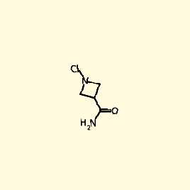 NC(=O)C1CN(Cl)C1